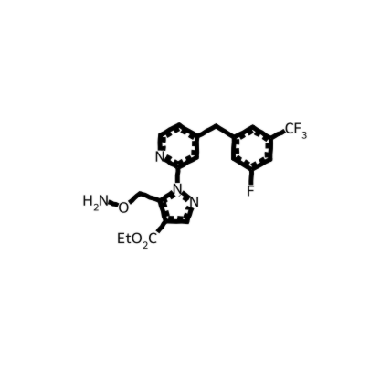 CCOC(=O)c1cnn(-c2cc(Cc3cc(F)cc(C(F)(F)F)c3)ccn2)c1CON